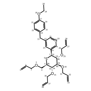 C=CCOC[C@H]1S[C@@H](c2cncc(Cc3ccc(OCC)cc3)c2)[C@H](OCC=C)[C@@H](OCC=C)[C@@H]1OCC=C